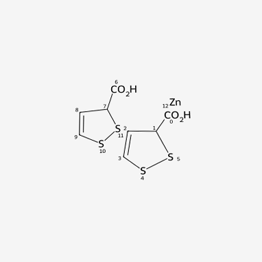 O=C(O)C1C=CSS1.O=C(O)C1C=CSS1.[Zn]